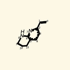 C=Cc1ccc2c(n1)NCCC2